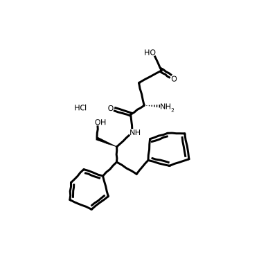 Cl.N[C@@H](CC(=O)O)C(=O)N[C@H](CO)C(Cc1ccccc1)c1ccccc1